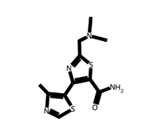 Cc1n[c]sc1-c1nc(CN(C)C)sc1C(N)=O